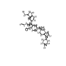 C=CCn1c(=O)c2cnc(Nc3ccc4c(ccn4C4CCN(C)CC4)c3)nc2n1-c1ccc2c(n1)C(CC)CC2